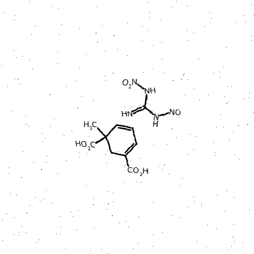 CC1(C(=O)O)C=CC=C(C(=O)O)C1.N=C(NN=O)N[N+](=O)[O-]